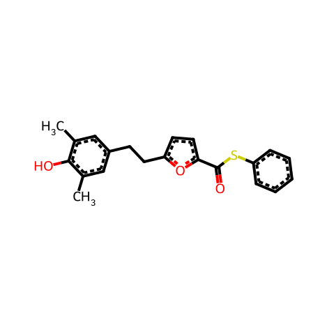 Cc1cc(CCc2ccc(C(=O)Sc3ccccc3)o2)cc(C)c1O